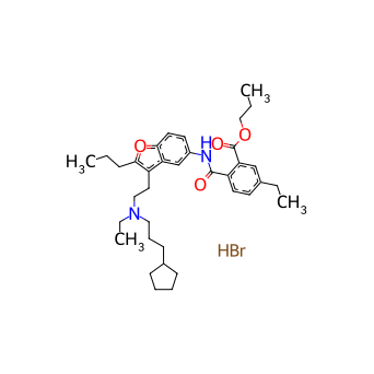 Br.CCCOC(=O)c1cc(CC)ccc1C(=O)Nc1ccc2oc(CCC)c(CCN(CC)CCCC3CCCC3)c2c1